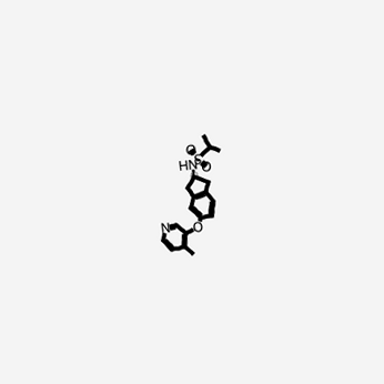 Cc1ccncc1Oc1ccc2c(c1)C[C@@H](NS(=O)(=O)C(C)C)C2